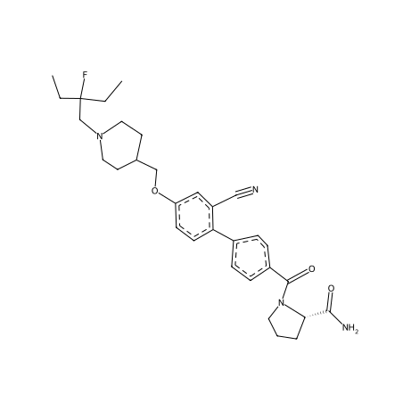 CCC(F)(CC)CN1CCC(COc2ccc(-c3ccc(C(=O)N4CCC[C@H]4C(N)=O)cc3)c(C#N)c2)CC1